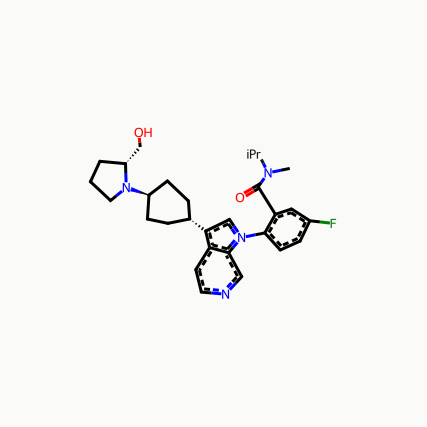 CC(C)N(C)C(=O)c1cc(F)ccc1-n1cc([C@H]2CC[C@H](N3CCC[C@@H]3CO)CC2)c2ccncc21